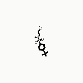 COCCN(C)S(=O)(=O)c1ccc(C(C)(C)C)cc1